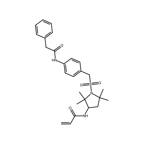 C=CC(=O)NC1CC(C)(C)N(S(=O)(=O)Cc2ccc(NC(=O)Cc3ccccc3)cc2)C1(C)C